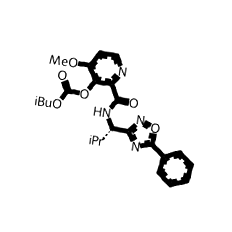 COc1ccnc(C(=O)N[C@H](c2noc(-c3ccccc3)n2)C(C)C)c1OC(=O)OCC(C)C